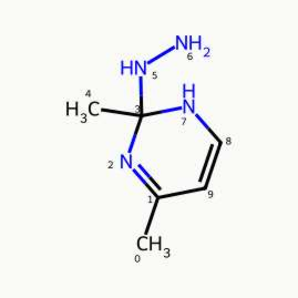 CC1=NC(C)(NN)NC=C1